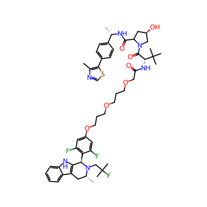 Cc1ncsc1-c1ccc([C@H](C)NC(=O)C2C[C@@H](O)CN2C(=O)[C@@H](NC(=O)COCCCOCCCOc2cc(F)c([C@@H]3c4[nH]c5ccccc5c4C[C@@H](C)N3CC(C)(C)F)c(F)c2)C(C)(C)C)cc1